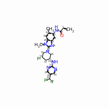 C=CC(=O)Nc1cc2nc(N3C[C@@H](F)C[C@@H](Nc4ncc(C(F)F)cn4)C3)n(C)c2cc1C